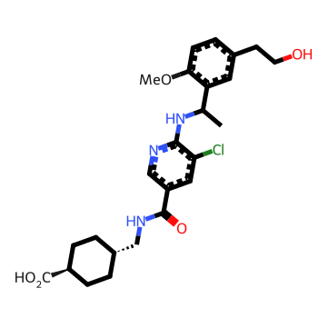 COc1ccc(CCO)cc1C(C)Nc1ncc(C(=O)NC[C@H]2CC[C@H](C(=O)O)CC2)cc1Cl